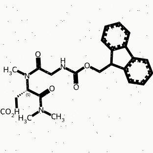 CN(C)C(=O)[C@H](CC(=O)O)N(C)C(=O)CNC(=O)OCC1c2ccccc2-c2ccccc21